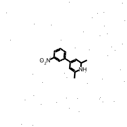 CC1=CC(c2cccc([N+](=O)[O-])c2)=CC(C)N1